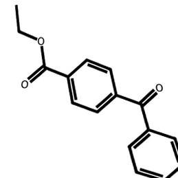 CCOC(=O)c1ccc(C(=O)c2ccccc2)cc1